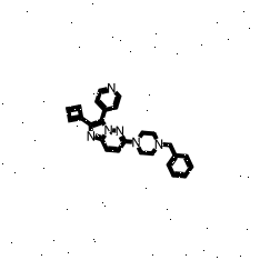 C1=CC(c2nc3ccc(N4CCN(Cc5ccccc5)CC4)nn3c2-c2ccncc2)=C1